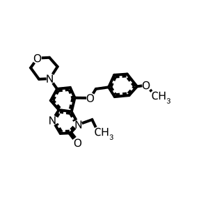 CCn1c(=O)cnc2cc(N3CCOCC3)cc(OCc3ccc(OC)cc3)c21